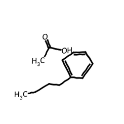 CC(=O)O.CCCCc1ccccc1